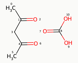 CC(=O)CC(C)=O.O=C(O)O